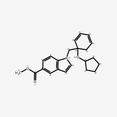 COC(=O)c1ccc2c(ccn2CC2(OC3CCCC3)C=CC=CC2)c1